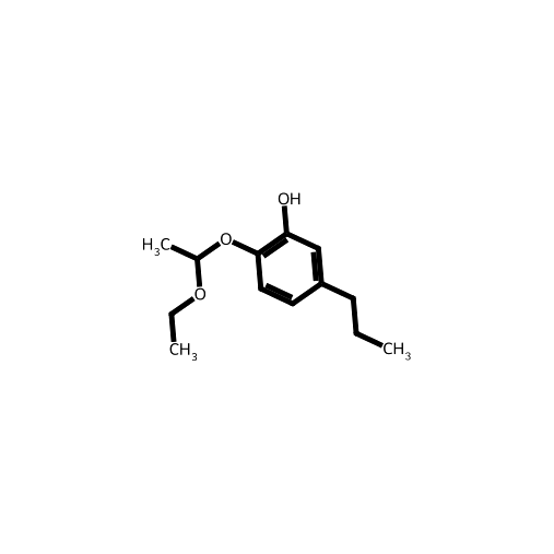 CCCc1ccc(OC(C)OCC)c(O)c1